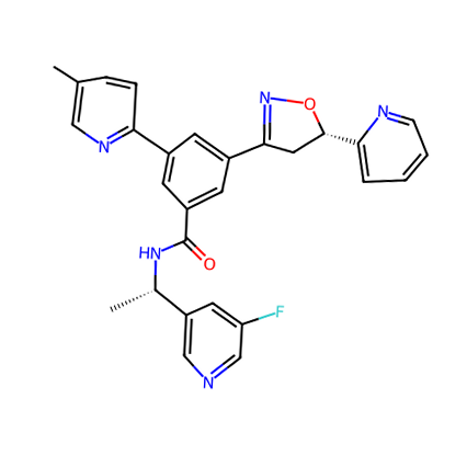 Cc1ccc(-c2cc(C(=O)N[C@@H](C)c3cncc(F)c3)cc(C3=NO[C@H](c4ccccn4)C3)c2)nc1